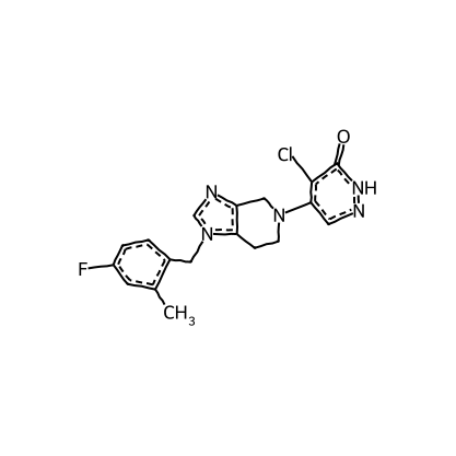 Cc1cc(F)ccc1Cn1cnc2c1CCN(c1cn[nH]c(=O)c1Cl)C2